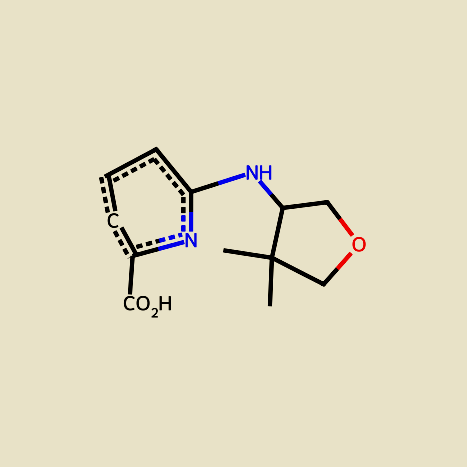 CC1(C)COCC1Nc1cccc(C(=O)O)n1